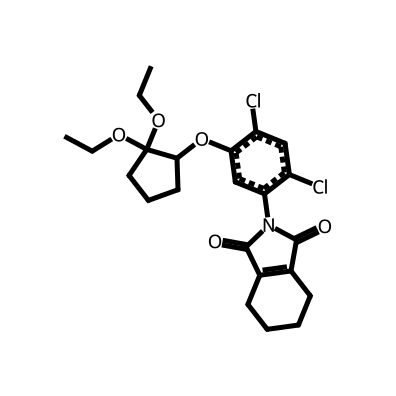 CCOC1(OCC)CCCC1Oc1cc(N2C(=O)C3=C(CCCC3)C2=O)c(Cl)cc1Cl